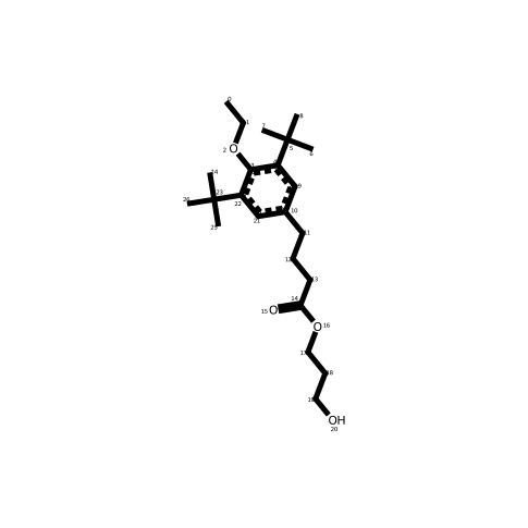 CCOc1c(C(C)(C)C)cc(CCCC(=O)OCCCO)cc1C(C)(C)C